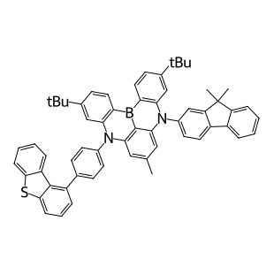 Cc1cc2c3c(c1)N(c1ccc4c(c1)C(C)(C)c1ccccc1-4)c1cc(C(C)(C)C)ccc1B3c1ccc(C(C)(C)C)cc1N2c1ccc(-c2cccc3sc4ccccc4c23)cc1